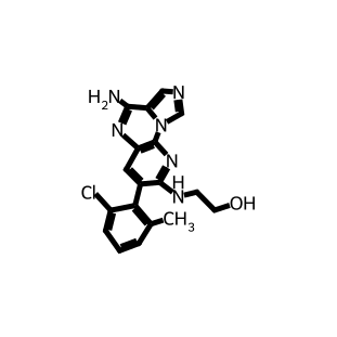 Cc1cccc(Cl)c1-c1cc2nc(N)c3cncn3c2nc1NCCO